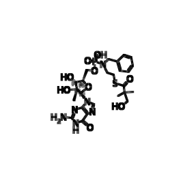 CC(C)(CO)C(=O)SCCN(Cc1ccccc1)P(=O)(O)OC[C@H]1O[C@@H](n2cnc3c(=O)[nH]c(N)nc32)[C@](C)(O)[C@@H]1O